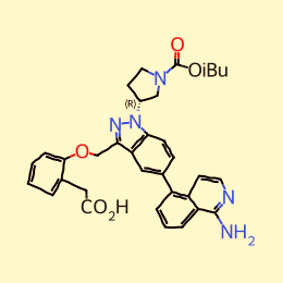 CC(C)COC(=O)N1CC[C@@H](n2nc(COc3ccccc3CC(=O)O)c3cc(-c4cccc5c(N)nccc45)ccc32)C1